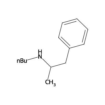 CCCCNC(C)Cc1ccccc1